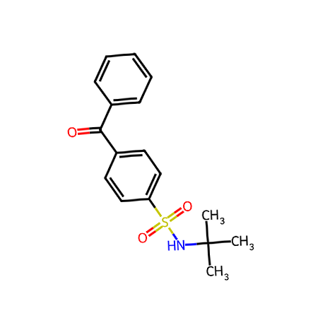 CC(C)(C)NS(=O)(=O)c1ccc(C(=O)c2ccccc2)cc1